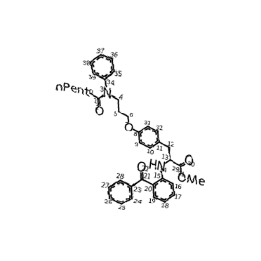 CCCCCC(=O)N(CCCOc1ccc(C[C@H](Nc2ccccc2C(=O)c2ccccc2)C(=O)OC)cc1)c1ccccc1